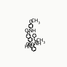 COc1ccc(NC(=O)N2CCc3cc(S(=O)(=O)Nc4ccccc4CN[C@@H](C)CC4CCCC4)ccc3C2)cc1